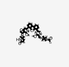 COc1nc(-c2cccc(-c3cccc(-c4cc5c(c(OC)n4)C(N4CC6(CCC(=O)N6)C4)CO5)c3C)c2Cl)cnc1CN1CC2(C1)CN(C(C)=O)C2